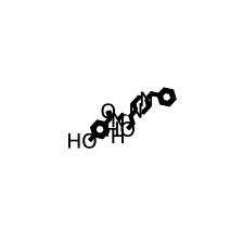 O=C(NC[C@@H](CO)N1CCN(Cc2ccccc2)CC1)c1ccc(O)cc1